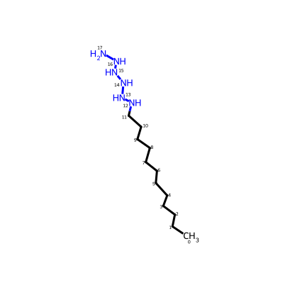 CCCCCCCCCCCCNNNNNN